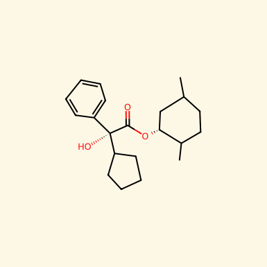 CC1CCC(C)[C@H](OC(=O)[C@](O)(c2ccccc2)C2CCCC2)C1